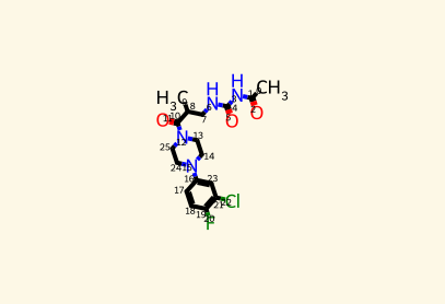 CC(=O)NC(=O)NCC(C)C(=O)N1CCN(c2ccc(F)c(Cl)c2)CC1